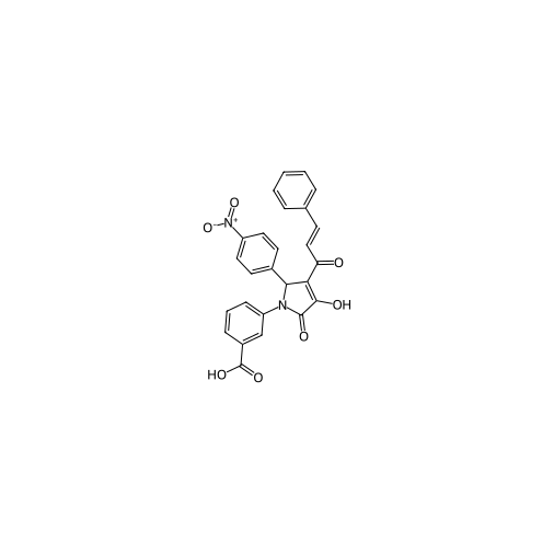 O=C(/C=C/c1ccccc1)C1=C(O)C(=O)N(c2cccc(C(=O)O)c2)C1c1ccc([N+](=O)[O-])cc1